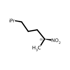 CC(C)CCC[C@H](C)[N+](=O)[O-]